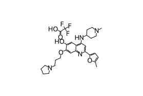 Cc1ccc(-c2cc(NC3CCN(C)CC3)c3cc(O)c(OCCCN4CCCC4)cc3n2)o1.O=C(O)C(F)(F)F